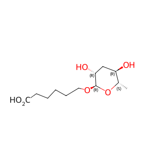 C[C@@H]1O[C@@H](OCCCCCC(=O)O)[C@H](O)C[C@H]1O